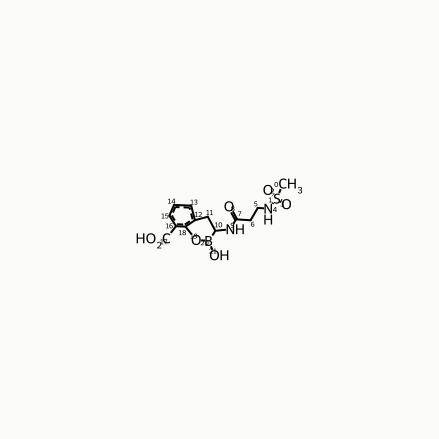 CS(=O)(=O)NCCC(=O)NC1Cc2cccc(C(=O)O)c2OB1O